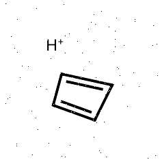 C1=CC=C1.[H+]